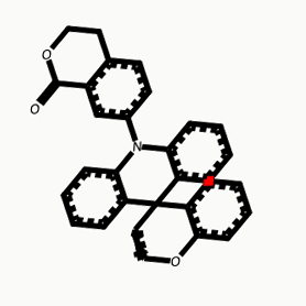 O=C1OCCc2ccc(N3c4ccccc4C4(c5ccccc5Oc5ccccc54)c4ccccc43)cc21